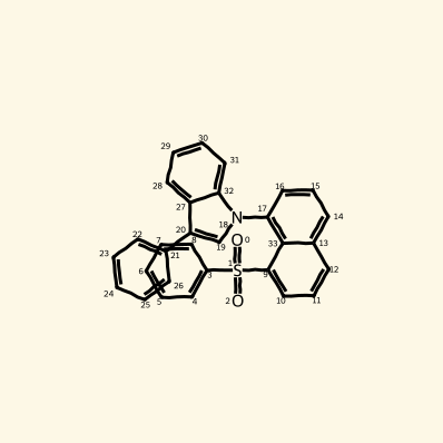 O=S(=O)(c1ccccc1)c1cccc2cccc(-n3cc(-c4ccccc4)c4ccccc43)c12